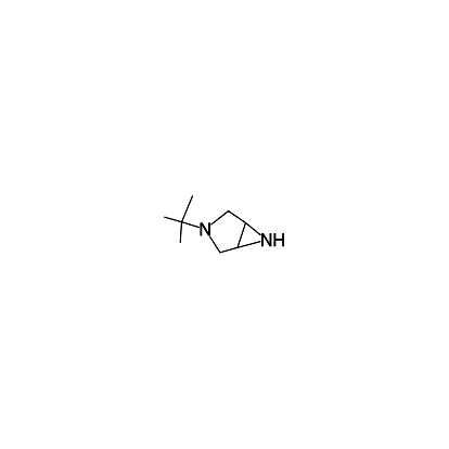 CC(C)(C)N1CC2NC2C1